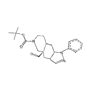 CC(C)(C)OC(=O)N1CCC2CC3C(C=NN3c3ccccc3)C[C@]2(C=O)C1